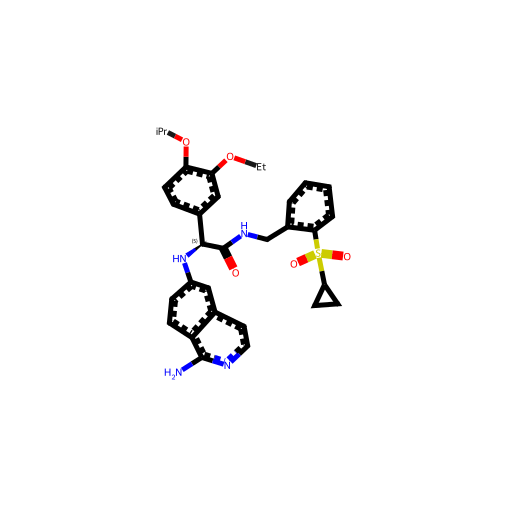 CCOc1cc([C@H](Nc2ccc3c(N)nccc3c2)C(=O)NCc2ccccc2S(=O)(=O)C2CC2)ccc1OC(C)C